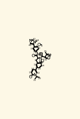 COc1cc(NC(=O)C(Cc2cc(-c3ccc(=O)n(C(C)C)c3)ccc2Cl)NC(=O)c2conc2C)ccc1-c1cncn1C